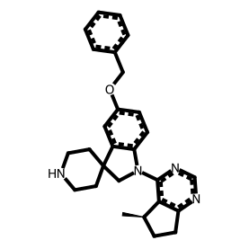 C[C@@H]1CCc2ncnc(N3CC4(CCNCC4)c4cc(OCc5ccccc5)ccc43)c21